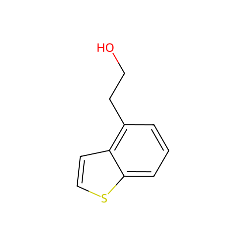 OCCc1cccc2sccc12